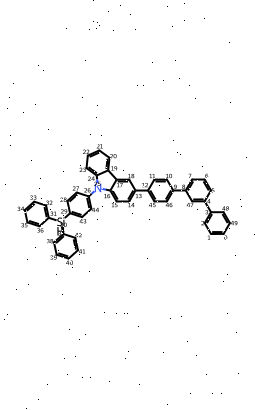 c1ccc(-c2cccc(-c3ccc(-c4ccc5c(c4)c4ccccc4n5-c4ccc([SiH](c5ccccc5)c5ccccc5)cc4)cc3)c2)cc1